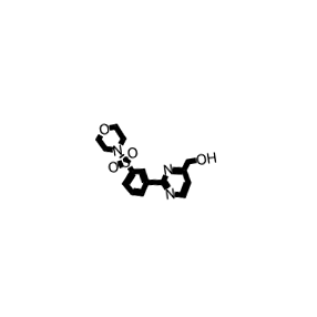 O=S(=O)(c1cccc(-c2nccc(CO)n2)c1)N1CCOCC1